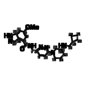 COc1cc(C(=O)NCc2ccc(N3CCC[C@@H](NCC4CCC4)C3)nn2)c2cn[nH]c2c1